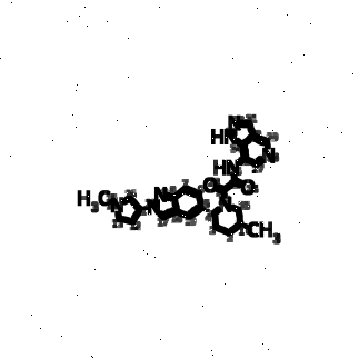 C[C@H]1CC[C@H](c2ccc3nn([C@@H]4CCN(C)C4)cc3c2)N(C(=O)C(=O)Nc2cncc3cn[nH]c23)C1